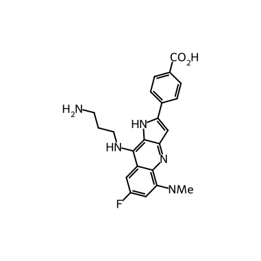 CNc1cc(F)cc2c(NCCCN)c3[nH]c(-c4ccc(C(=O)O)cc4)cc3nc12